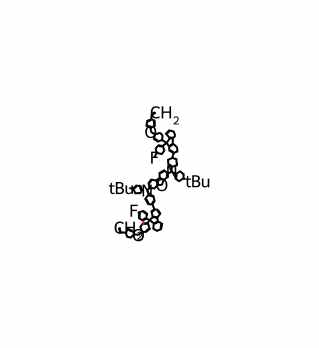 C=Cc1ccc(OC2C=CC(C3(C4=CCC(F)CC4)C4=C(CCC=C4)C4=C3C=C(C3CC=C(N(C5=CC6OC7=C(C=CC(N(C8=CC=C(C(C)(C)C)CC8)c8ccc(-c9ccc%10c(c9)C(C9=CCC(OC%11C=CC(C=C)CC%11)C=C9)(c9ccc(F)cc9)C9=C%10C=CCC9)cc8)C7)C6C=C5)C5=CCC(C(C)(C)C)CC5)CC3)CC4)CC2)cc1